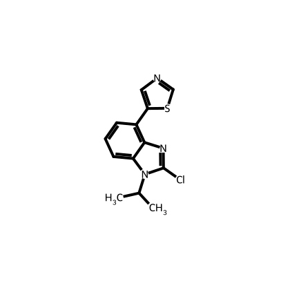 CC(C)n1c(Cl)nc2c(-c3cncs3)cccc21